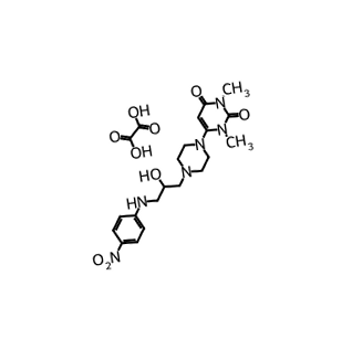 Cn1c(N2CCN(CC(O)CNc3ccc([N+](=O)[O-])cc3)CC2)cc(=O)n(C)c1=O.O=C(O)C(=O)O